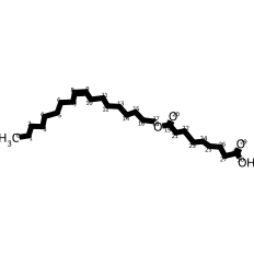 CCCCCCCC/C=C\CCCCCCCCOC(=O)CCCCCCCC(=O)O